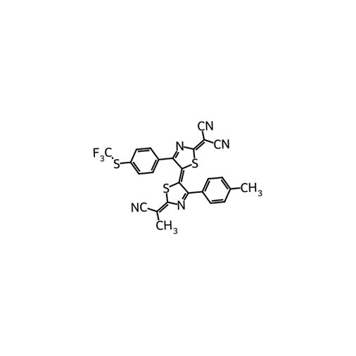 C/C(C#N)=c1\nc(-c2ccc(C)cc2)/c(=c2\sc(=C(C#N)C#N)nc2-c2ccc(SC(F)(F)F)cc2)s1